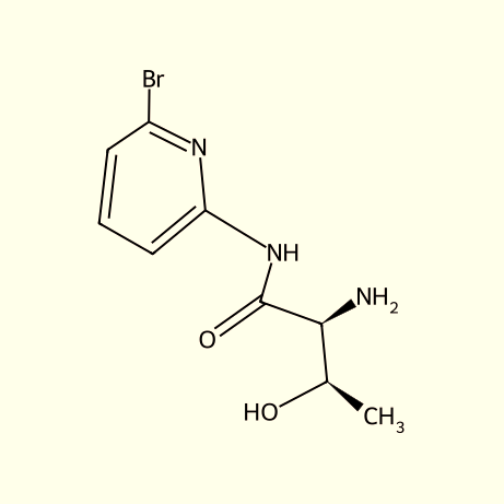 C[C@@H](O)[C@H](N)C(=O)Nc1cccc(Br)n1